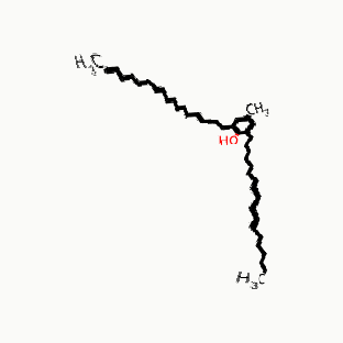 CCCCCCCCCCCCCCCCCCc1cc(C)cc(CCCCCCCCCCCCCCCCCC)c1O